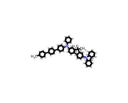 Cc1ccc(-c2ccc(-c3ccc(N(c4ccccc4)c4ccc5c(c4)C(C)(C)c4cc(-n6c7ccccc7c7ccccc76)ccc4-5)cc3)cc2)cc1